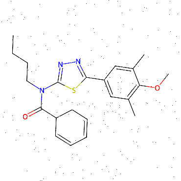 CCCCN(C(=O)C1C=CC=CC1)c1nnc(-c2cc(C)c(OC)c(C)c2)s1